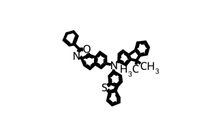 CC1(C)c2ccccc2-c2ccc(N(c3ccc4c(ccc5nc(C6=CCCC=C6)oc54)c3)c3ccc4c(c3)sc3ccccc34)cc21